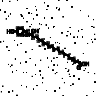 O=C(O)CCCCCCCCCCCCCCCCCC[C@H](O)NCC1CCC(O)CC1